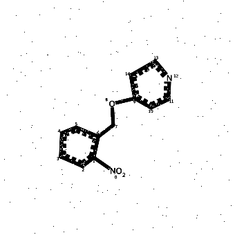 O=[N+]([O-])c1ccccc1COc1ccncc1